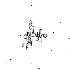 Cn1c(=O)n(-c2nnc(C(F)F)s2)c2cc(S(=O)(=O)NC3(CF)COC3)cc(N3CCC4(CC3)COC4)c21